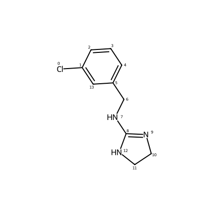 Clc1cccc(CNC2=NCCN2)c1